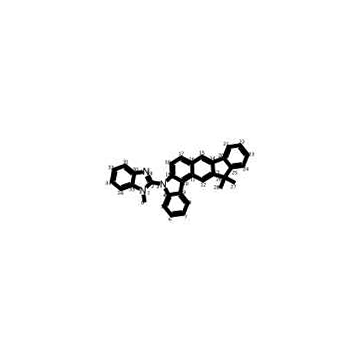 Cn1c(-n2c3ccccc3c3c4cc5c(cc4ccc32)-c2ccccc2C5(C)C)nc2ccccc21